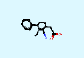 Cc1c(-c2ccccc2)ccc(CC(=O)O)c1N